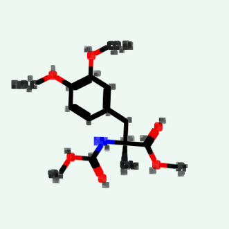 CCOC(=O)Oc1ccc(C[C@](NC(=O)OC(C)(C)C)(OC(C)=O)C(=O)OC(C)C)cc1OC(=O)OCC